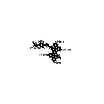 CCCCCCCCOc1c(C)c(-c2ccc(-c3cc4c(s3)-c3cc5c(cc3C4(c3ccc(CCCCCC)cc3)c3ccc(CCCCCC)cc3)-c3sc(C)cc3C5(c3ccc(CCCCCC)cc3)c3ccc(CCCCCC)cc3)s2)c2nsnc2c1-c1ccc(C)s1